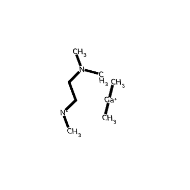 C[N-]CCN(C)C.[CH3][Ga+][CH3]